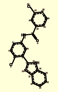 O=C(Nc1ccc(Cl)c(-c2nc3ccccc3[nH]2)c1)c1ccnc(Cl)c1